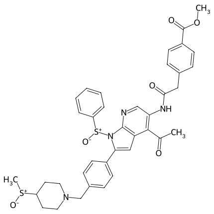 COC(=O)c1ccc(CC(=O)Nc2cnc3c(cc(-c4ccc(CN5CCC([S+](C)[O-])CC5)cc4)n3[S+]([O-])c3ccccc3)c2C(C)=O)cc1